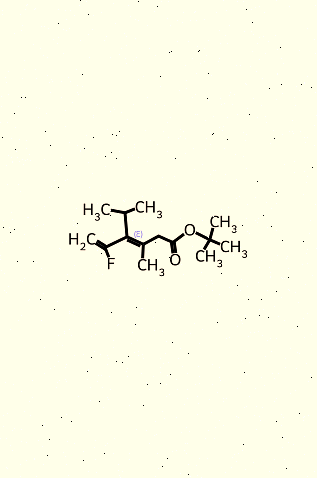 C=C(F)/C(=C(\C)CC(=O)OC(C)(C)C)C(C)C